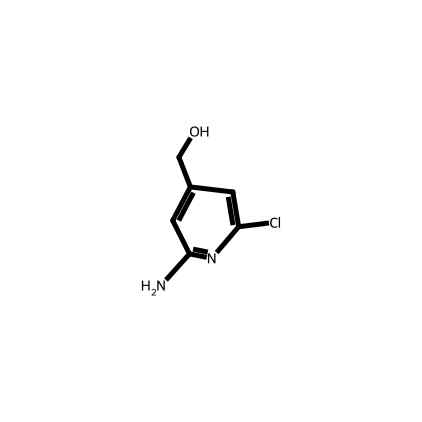 Nc1cc(CO)cc(Cl)n1